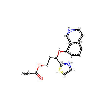 CNC(=O)OCCC(Oc1cccc2ccncc12)c1nccs1